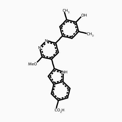 COc1nnc(-c2cc(C)c(O)c(C)c2)cc1-c1cc2cc(C(=O)O)ccc2[nH]1